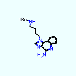 CC(C)(C)NCCCCn1cnc2c(N)nc3ccccc3c21